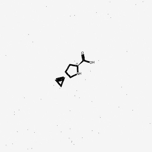 C1#CC1.O=C(O)[C@@H]1CCCN1